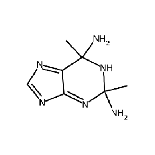 CC1(N)N=C2N=CN=C2C(C)(N)N1